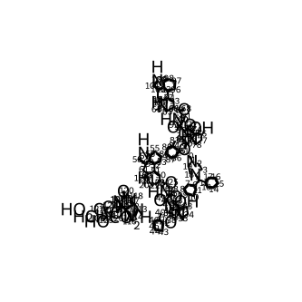 CN1CCN(C(c2ccccc2)c2ccccc2)CC1.CN1C[C@H](C(=O)N[C@]2(C)O[C@@]3(O)[C@@H]4CCCN4C(=O)[C@H](Cc4ccccc4)N3C2=O)C=C2c3cccc4[nH]cc(c34)C[C@H]21.CN1C[C@H](C(=O)N[C@]2(C)O[C@@]3(O)[C@@H]4CCCN4C(=O)[C@H](Cc4ccccc4)N3C2=O)C=C2c3cccc4[nH]cc(c34)C[C@H]21.Cl.Cn1c(=O)c2c(ncn2C)n(C)c1=O.O=C(O)[C@H](O)[C@@H](O)C(=O)O